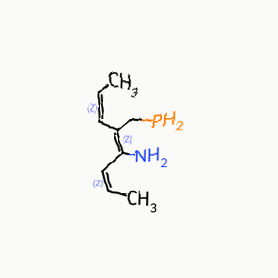 C\C=C/C(N)=C(\C=C/C)CP